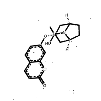 CB(O)N1[C@@H]2CC[C@H]1C[C@H](Oc1ccc3ccc(=O)oc3c1)C2